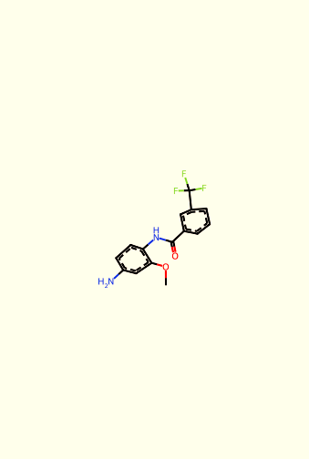 COc1cc(N)ccc1NC(=O)c1cccc(C(F)(F)F)c1